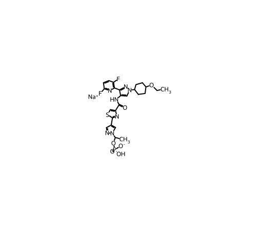 CCOC1CCC(n2cc(NC(=O)c3csc(-c4cnn(C(C)OP(=O)([O-])O)c4)n3)c(-c3nc(F)ccc3F)n2)CC1.[Na+]